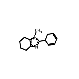 Cn1c(C2C=CC=CC2)nc2c1CCCC2